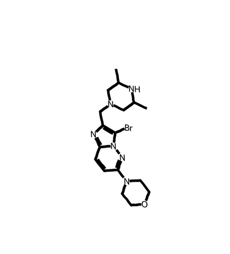 CC1CN(Cc2nc3ccc(N4CCOCC4)nn3c2Br)CC(C)N1